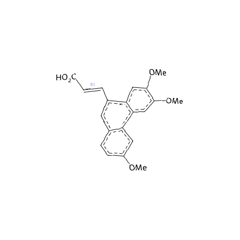 COc1ccc2cc(/C=C/C(=O)O)c3cc(OC)c(OC)cc3c2c1